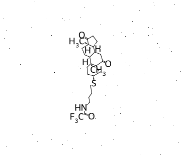 C[C@]12CC[C@H](SCCCCNC(=O)C(F)(F)F)CC1C(=O)C[C@@H]1[C@@H]2CC[C@]2(C)C(=O)CC[C@@H]12